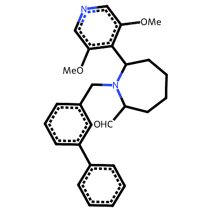 COc1cncc(OC)c1C1CCCCC(C=O)N1Cc1cccc(-c2ccccc2)c1